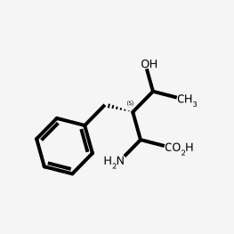 CC(O)[C@@H](Cc1ccccc1)C(N)C(=O)O